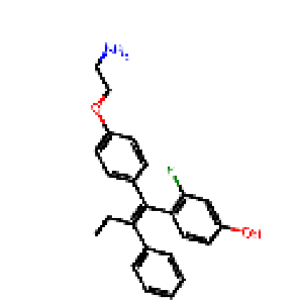 CC/C(=C(\c1ccc(OCCN)cc1)c1ccc(O)cc1F)c1ccccc1